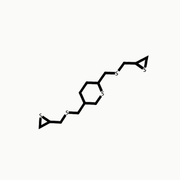 C1CC(CSCC2CS2)SCC1CSCC1CS1